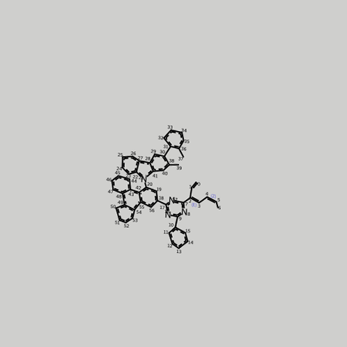 C=C/C(=C\C=C/C)c1nc(-c2ccccc2)nc(-c2cc(-n3c4ccccc4c4cc(-c5ccccc5C)c(C)cc43)c3c4ccccc4c4ccccc4c3c2)n1